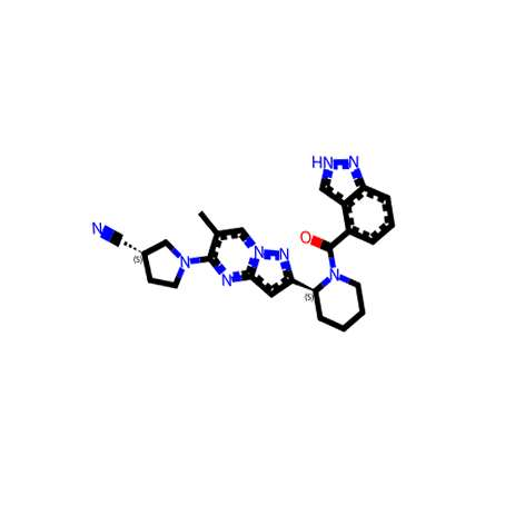 Cc1cn2nc([C@@H]3CCCCN3C(=O)c3cccc4n[nH]cc34)cc2nc1N1CC[C@H](C#N)C1